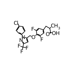 CC(Cc1cc(F)c(OCc2cc(C(F)(F)F)nn2-c2ccc(Cl)cc2)c(F)c1)C(=O)O